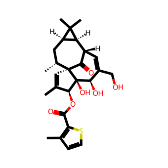 CC1=C[C@]23C(=O)[C@@H](C=C(CO)[C@@H](O)[C@]2(O)[C@H]1OC(=O)c1sccc1C)[C@H]1[C@@H](C[C@H]3C)C1(C)C